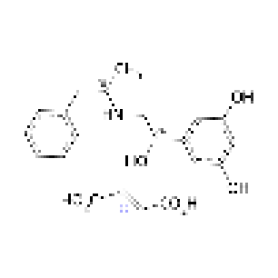 C[C@@H](Cc1ccccc1)NC[C@@H](O)c1cc(O)cc(O)c1.O=C(O)/C=C/C(=O)O